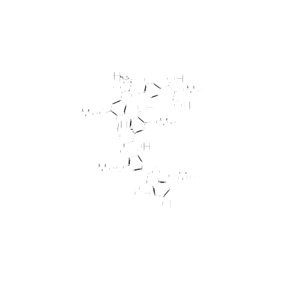 COc1cc(C(O)C(CO)OC)ccc1OC(CO)C(=O)c1cc(OC)c(O)c(-c2cc(C(O)C(CO)Oc3ccc(C4Oc5c(OC)cc(C)cc5C4CO)cc3OC)cc(OC)c2O)c1